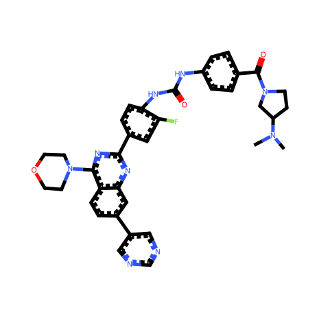 CN(C)C1CCN(C(=O)c2ccc(NC(=O)Nc3ccc(-c4nc(N5CCOCC5)c5ccc(-c6cncnc6)cc5n4)cc3F)cc2)C1